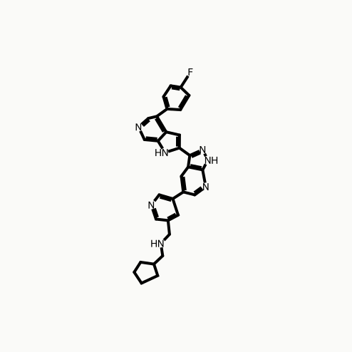 Fc1ccc(-c2cncc3[nH]c(-c4n[nH]c5ncc(-c6cncc(CNCC7CCCC7)c6)cc45)cc23)cc1